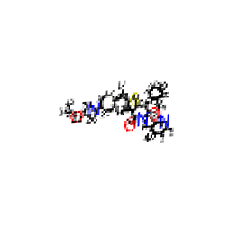 Cc1cc(C)c(CN2CCc3sc([C@H](C)[C@H]4CC[C@H](N5CC(OC6CC6)C5)CC4)c(C)c3C2=O)c(OCc2ccccc2)n1